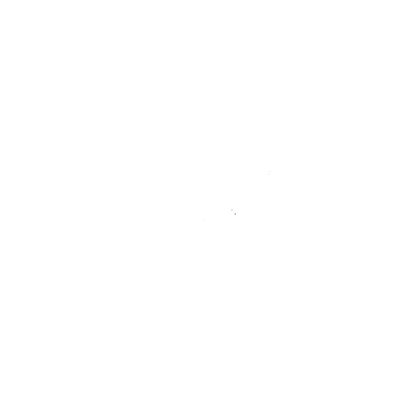 COC(=O)CNC(C)(C)c1cccc(F)c1